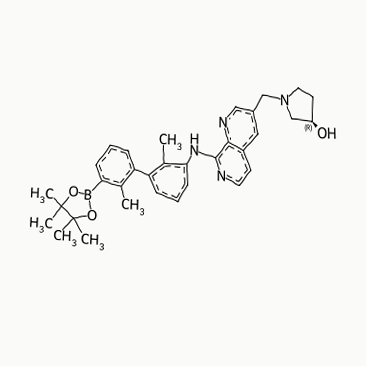 Cc1c(Nc2nccc3cc(CN4CC[C@@H](O)C4)cnc23)cccc1-c1cccc(B2OC(C)(C)C(C)(C)O2)c1C